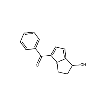 O=C(c1ccccc1)c1ccc2n1CCC2O